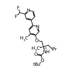 Cc1cc(-c2ccnc(C(F)F)c2)ncc1OC[C@](C)(CC(C)C)NC(=O)OC(C)(C)C